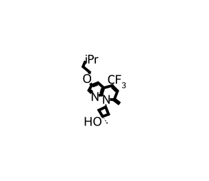 C=C1C=C(C(F)(F)F)c2cc(OCCC(C)C)cnc2N1[C@H]1C[C@](C)(O)C1